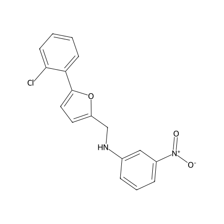 O=[N+]([O-])c1cccc(NCc2ccc(-c3ccccc3Cl)o2)c1